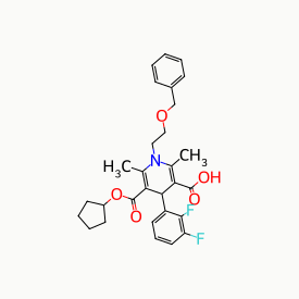 CC1=C(C(=O)O)C(c2cccc(F)c2F)C(C(=O)OC2CCCC2)=C(C)N1CCOCc1ccccc1